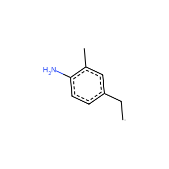 [CH2]Cc1ccc(N)c(C)c1